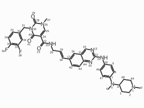 CN1CCC(N(C)c2ccc(Nc3ncc4cc(C=CCNC(=O)c5cn(C)c(=O)n(Cc6ccc(F)c(F)c6)c5=O)ccc4n3)cc2)CC1